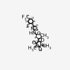 Cc1oc2c(c1CC(=O)Nc1nc(-c3ccc(C(F)(F)F)cc3F)cs1)c(=O)n(C)c(=O)n2C